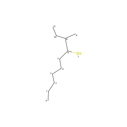 CCCCCCC(S)C(C)CC